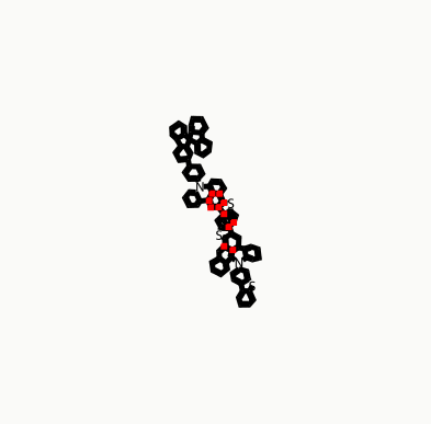 c1ccc(N(c2ccc3c(c2)sc2ccccc23)c2cccc3ccccc23)c(-c2ccc3sc4cc(-c5ccc6c(N(c7ccc(-c8ccc9c(c8)C8(c%10ccccc%10-c%10ccccc%108)c8ccccc8-9)cc7)c7ccccc7-c7ccc8sc9ccccc9c8c7)cccc6c5)ccc4c3c2)c1